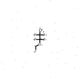 FC(F)(F)C(F)(F)C(F)(F)OCI